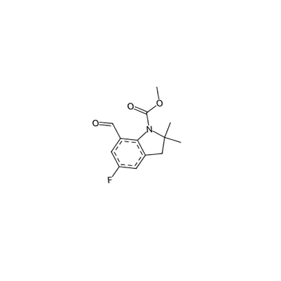 COC(=O)N1c2c(C=O)cc(F)cc2CC1(C)C